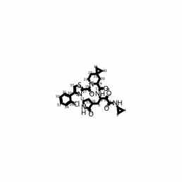 O=C(NC1CC1)C(=O)C(CC1CCNC1=O)NC(=O)C1CC2(CCN1C(=O)c1nc(-c3ccccc3Cl)cs1)CC2